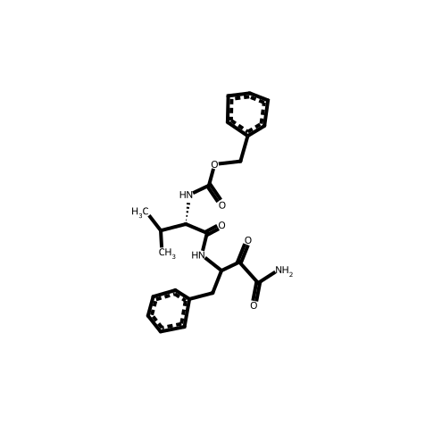 CC(C)[C@H](NC(=O)OCc1ccccc1)C(=O)NC(Cc1ccccc1)C(=O)C(N)=O